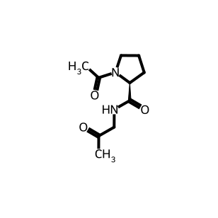 CC(=O)CNC(=O)[C@@H]1CCCN1C(C)=O